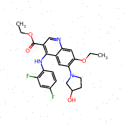 CCOC(=O)c1cnc2cc(OCC)c(N3CCC(O)C3)cc2c1Nc1ccc(F)cc1F